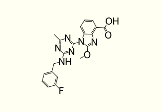 COc1nc2c(C(=O)O)cccc2n1-c1nc(C)nc(NCc2cccc(F)c2)n1